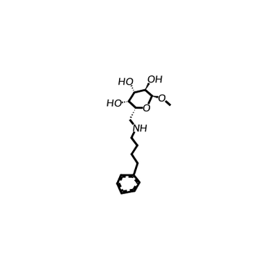 CO[C@H]1O[C@H](CNCCCCc2ccccc2)[C@H](O)[C@H](O)[C@H]1O